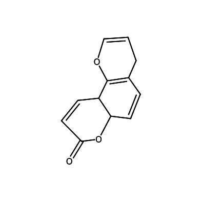 O=C1C=CC2C3=C(C=CC2O1)CC=CO3